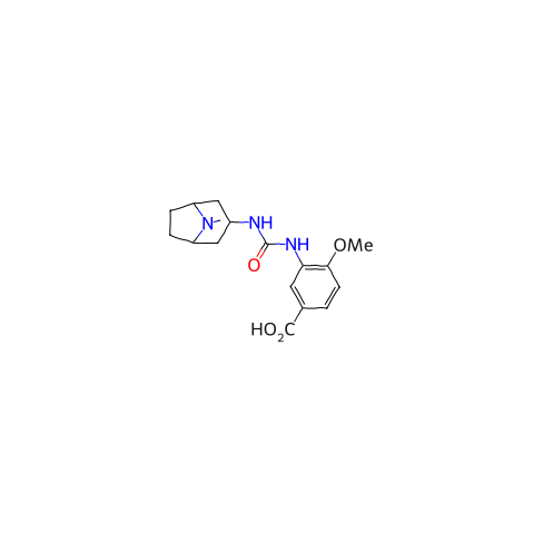 COc1ccc(C(=O)O)cc1NC(=O)NC1CC2CCC(C1)N2C